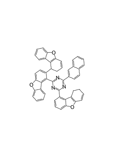 C1=Cc2oc3cccc(-c4nc(-c5ccc6ccccc6c5)nc(-c5c(C6CC=Cc7oc8ccccc8c76)ccc6oc7ccccc7c56)n4)c3c2CC1